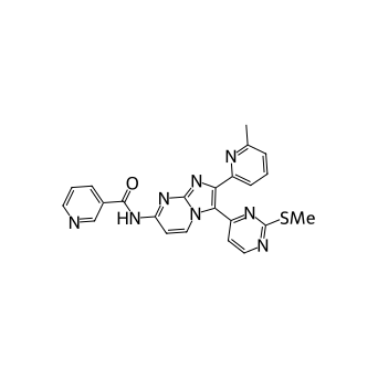 CSc1nccc(-c2c(-c3cccc(C)n3)nc3nc(NC(=O)c4cccnc4)ccn23)n1